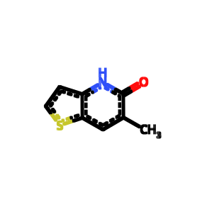 Cc1cc2sccc2[nH]c1=O